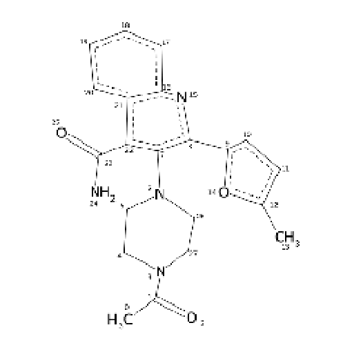 CC(=O)N1CCN(c2c(-c3ccc(C)o3)nc3ccccc3c2C(N)=O)CC1